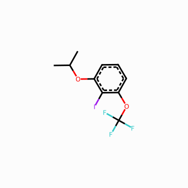 CC(C)Oc1cccc(OC(F)(F)F)c1I